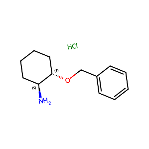 Cl.N[C@H]1CCCC[C@@H]1OCc1ccccc1